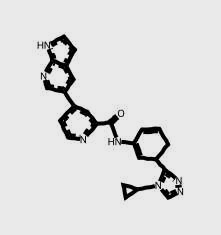 O=C(NC1=CC(c2nncn2C2CC2)CC=C1)c1cc(-c2cnc3[nH]ccc3c2)ccn1